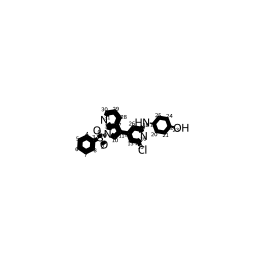 O=S(=O)(c1ccccc1)n1cc(-c2cc(Cl)nc(N[C@H]3CC[C@H](O)CC3)c2)c2cccnc21